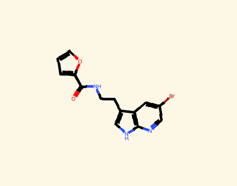 O=C(NCCc1c[nH]c2ncc(Br)cc12)c1ccco1